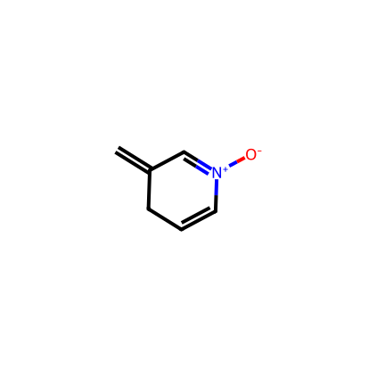 C=C1C=[N+]([O-])C=CC1